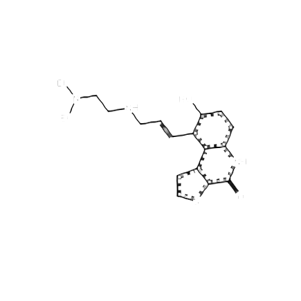 CCN(CC)CCNCC=Cc1c(O)ccc2[nH]c(=O)c3sccc3c12